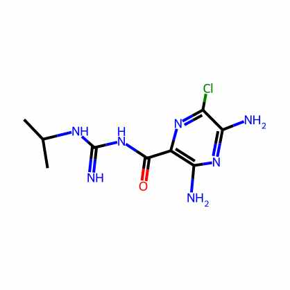 CC(C)NC(=N)NC(=O)c1nc(Cl)c(N)nc1N